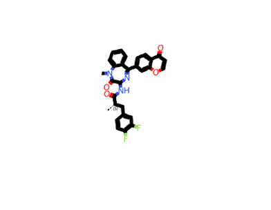 C[C@@H](Cc1ccc(F)c(F)c1)C(=O)NC1N=C(c2ccc3c(=O)ccoc3c2)c2ccccc2N(C)C1=O